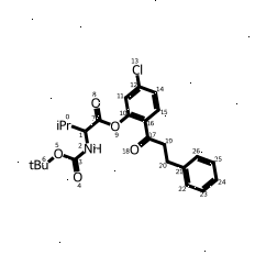 CC(C)C(NC(=O)OC(C)(C)C)C(=O)Oc1cc(Cl)ccc1C(=O)CCc1ccccc1